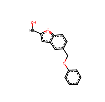 OBc1cc2cc(COc3ccccc3)ccc2o1